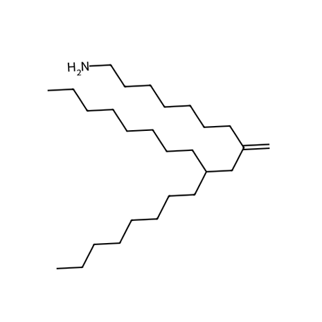 C=C(CCCCCCCN)CC(CCCCCCCC)CCCCCCCC